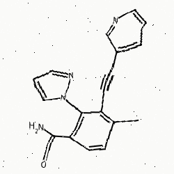 Cc1ccc(C(N)=O)c(-n2cccn2)c1C#Cc1cccnc1